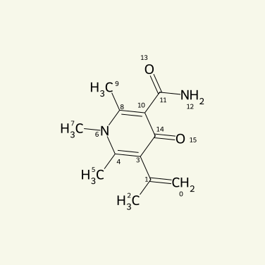 C=C(C)c1c(C)n(C)c(C)c(C(N)=O)c1=O